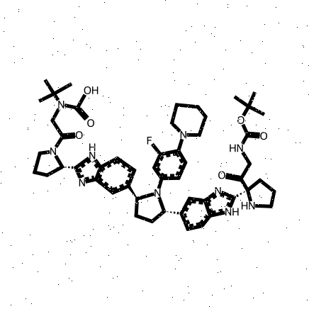 CC(C)(C)OC(=O)NCC(=O)[C@@]1(c2nc3cc([C@@H]4CC[C@@H](c5ccc6[nH]c([C@@H]7CCCN7C(=O)CN(C(=O)O)C(C)(C)C)nc6c5)N4c4ccc(N5CCCCC5)c(F)c4)ccc3[nH]2)CCCN1